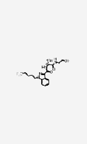 CC(C)(C)[C@H](NC(=O)c1nn(CCCCC(F)(F)F)c2ccccc12)C(=O)NCCO